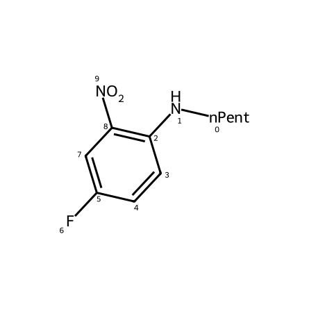 CCCCCNc1ccc(F)cc1[N+](=O)[O-]